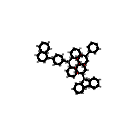 c1ccc(-c2ccc(-c3ccccc3N(c3ccc(-c4cccc5ccccc45)cc3)c3ccccc3-c3ccc(-n4c5ccccc5c5ccccc54)cc3)cc2)cc1